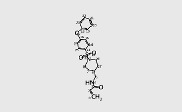 C=CC(=O)NCC1CCN(S(=O)(=O)c2ccc(Oc3ccccc3)cc2)CC1